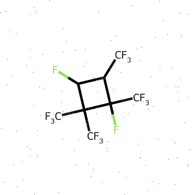 FC1C(C(F)(F)F)C(F)(C(F)(F)F)C1(C(F)(F)F)C(F)(F)F